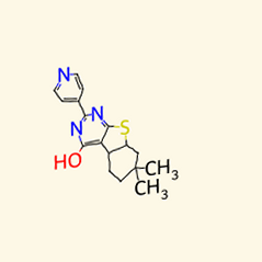 CC1(C)CCC2c3c(O)nc(-c4ccncc4)nc3SC2C1